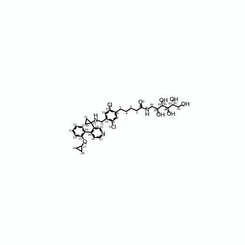 O=C(CCCCc1cc(Cl)c(CNC2(c3cnccc3-c3ccccc3OC3CC3)CC2)cc1Cl)NC[C@H](O)[C@@H](O)[C@H](O)[C@H](O)CO